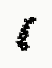 CC(C)(C)NC(=O)[C@H]1C[C@H](S(=O)(=O)N2CCC(c3coc4cccnc34)CC2)C1